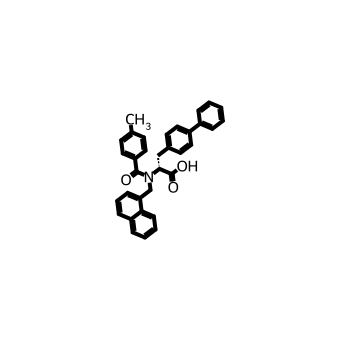 Cc1ccc(C(=O)N(Cc2cccc3ccccc23)[C@H](Cc2ccc(-c3ccccc3)cc2)C(=O)O)cc1